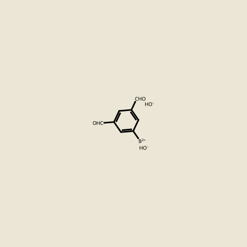 [B+2]c1cc(C=O)cc(C=O)c1.[OH-].[OH-]